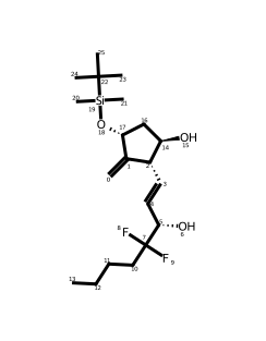 C=C1[C@@H](C=C[C@H](O)C(F)(F)CCCC)[C@H](O)C[C@H]1O[Si](C)(C)C(C)(C)C